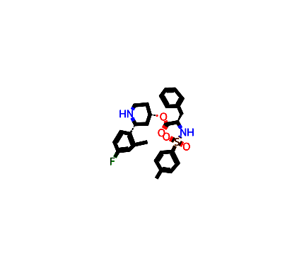 Cc1ccc(S(=O)(=O)N[C@H](Cc2ccccc2)C(=O)O[C@H]2CCN[C@@H](c3ccc(F)cc3C)C2)cc1